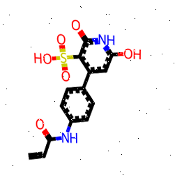 C=CC(=O)Nc1ccc(-c2cc(O)[nH]c(=O)c2S(=O)(=O)O)cc1